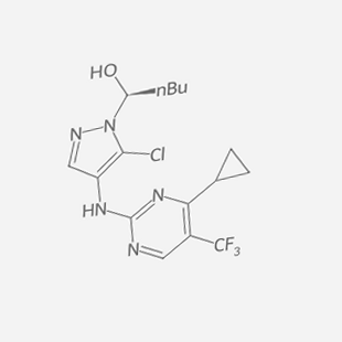 CCCC[C@H](O)n1ncc(Nc2ncc(C(F)(F)F)c(C3CC3)n2)c1Cl